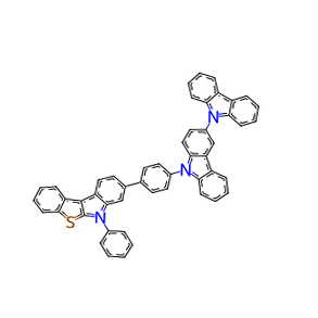 c1ccc(-n2c3cc(-c4ccc(-n5c6ccccc6c6cc(-n7c8ccccc8c8ccccc87)ccc65)cc4)ccc3c3c4ccccc4sc32)cc1